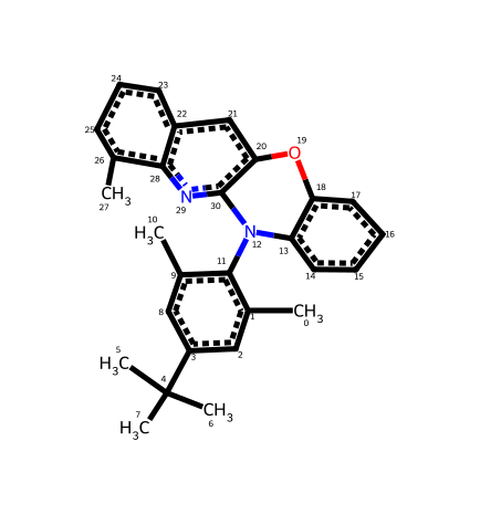 Cc1cc(C(C)(C)C)cc(C)c1N1c2ccccc2Oc2cc3cccc(C)c3nc21